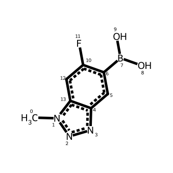 Cn1nnc2cc(B(O)O)c(F)cc21